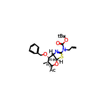 C=CCN(C(=O)OC(C)(C)C)C1=N[C@@H]2[C@@H](OCc3ccccc3)[C@H](C)[C@@H](C(C)=O)O[C@@H]2S1